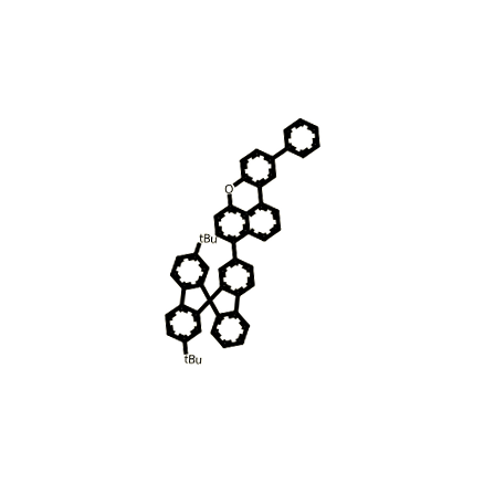 CC(C)(C)c1ccc2c(c1)C1(c3ccccc3-c3ccc(-c4ccc5c6c(cccc46)-c4cc(-c6ccccc6)ccc4O5)cc31)c1cc(C(C)(C)C)ccc1-2